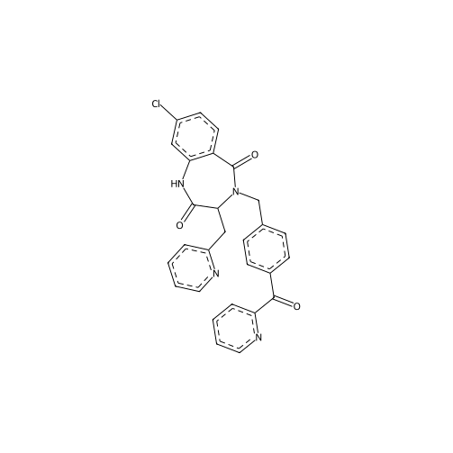 O=C(c1ccc(CN2C(=O)c3ccc(Cl)cc3NC(=O)C2Cc2ccccn2)cc1)c1ccccn1